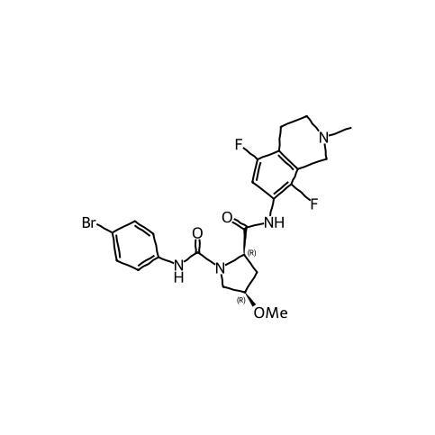 CO[C@@H]1C[C@H](C(=O)Nc2cc(F)c3c(c2F)CN(C)CC3)N(C(=O)Nc2ccc(Br)cc2)C1